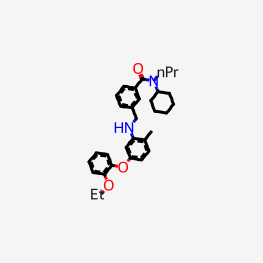 CCCN(C(=O)c1cccc(CNc2cc(Oc3ccccc3OCC)ccc2C)c1)C1CCCCC1